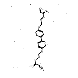 C=CC(=C)OCCOC1=CC=C(C2=CC=C(OCCOC(=C)C=C)CC2)CC1